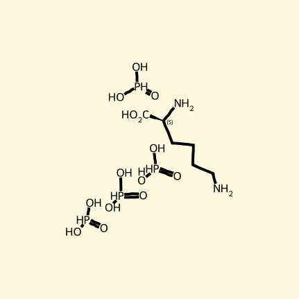 NCCCC[C@H](N)C(=O)O.O=[PH](O)O.O=[PH](O)O.O=[PH](O)O.O=[PH](O)O